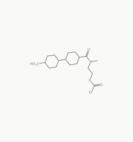 CCC(=O)OCCN(C)C(=O)C1CCC(C2CCC(C(=O)O)CC2)CC1